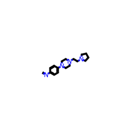 C=Nc1ccc(N2CCN(CCN3CCCC3)CC2)cc1